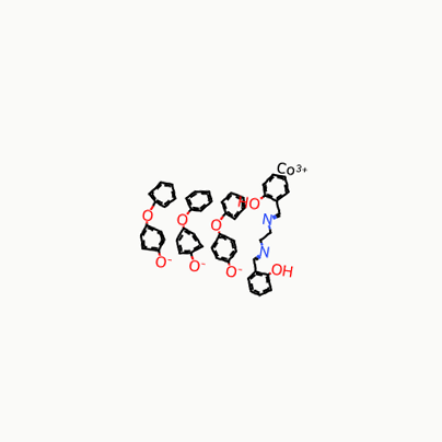 Oc1ccccc1C=NCCN=Cc1ccccc1O.[Co+3].[O-]c1ccc(Oc2ccccc2)cc1.[O-]c1ccc(Oc2ccccc2)cc1.[O-]c1ccc(Oc2ccccc2)cc1